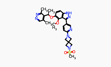 COc1c(O[C@H](C)c2c(C)cnnc2C)ccc2[nH]nc(-c3ccc(N4CC5(C4)CN(S(C)(=O)=O)C5)nc3)c12